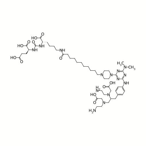 CN(C)c1nc(Nc2ccc(CC(CN(CCN)CC(=O)O)N(CCN)CC(=O)O)cc2)nc(N2CCN(CCCCCCCCCCC(=O)NCCCC[C@H](NC(=O)N[C@@H](CCC(=O)O)C(=O)O)C(=O)O)CC2)n1